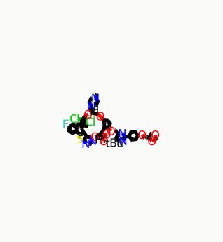 Cc1c(Cl)c2c(Cl)c(C)c1-c1c(-c3ccc(F)cc3)sc3ncnc(c13)O[C@@H](C(=O)OC(C)(C)C)Cc1cc(ccc1OCc1ccnc(C3CCC(OC[C@@H]4COCO4)CC3)n1)OC[C@@H](CN1CCN(C)CC1)O2